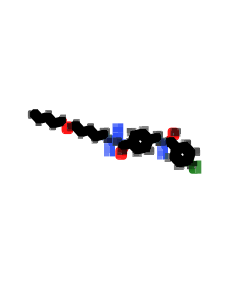 CCCCCOCCCCCNNC(=O)c1ccc(CNC(=O)c2ccc(Cl)cc2)cc1